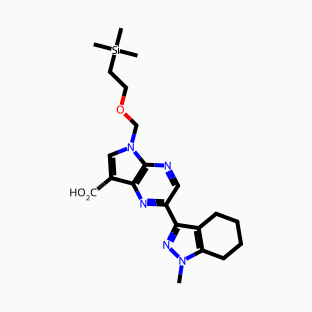 Cn1nc(-c2cnc3c(n2)c(C(=O)O)cn3COCC[Si](C)(C)C)c2c1CCCC2